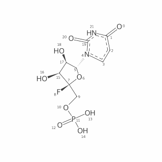 O=c1ccn([C@@H]2O[C@](F)(COP(=O)(O)O)[C@@H](O)[C@H]2O)c(=O)[nH]1